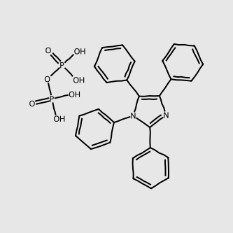 O=P(O)(O)OP(=O)(O)O.c1ccc(-c2nc(-c3ccccc3)n(-c3ccccc3)c2-c2ccccc2)cc1